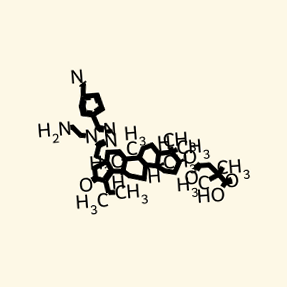 CC(C)C1=C2[C@H]3CC[C@@H]4[C@@]5(C)CC[C@H](OC(=O)CC(C)(C)C(=O)O)C(C)(C)[C@@H]5CC[C@@]4(C)[C@]3(C)CC[C@@]2(Cc2nnc(-c3ccc(C#N)cc3)n2CCN)CC1=O